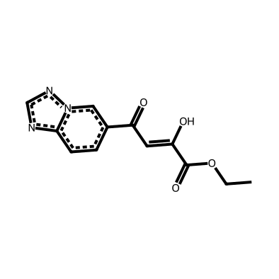 CCOC(=O)/C(O)=C/C(=O)c1ccc2ncnn2c1